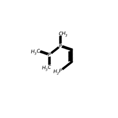 CP(C)P(C)/C=C\P